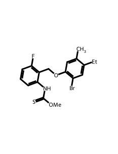 CCc1cc(Br)c(OCc2c(F)cccc2NC(=S)OC)cc1C